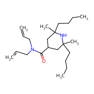 C=CCN(CC=C)C(=O)C1CC(C)(CCCC)NC(C)(CCCC)C1